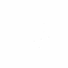 C=CC(=O)Nc1cccc(-n2c(=O)ccc3cnc(Nc4cccc(C(F)(F)F)c4)nc32)c1